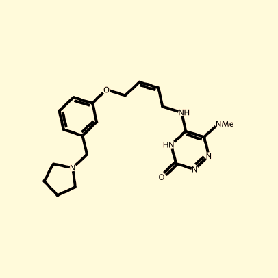 CNc1nnc(=O)[nH]c1NC/C=C\COc1cccc(CN2CCCC2)c1